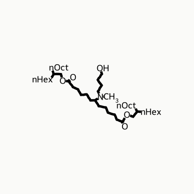 CCCCCCCCC(CCCCCC)COC(=O)CCCCCC(CCCCCC(=O)OCC(CCCCCC)CCCCCCCC)N(C)CCCCO